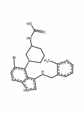 Cc1ncccc1CNc1c[nH]c2ncc(Br)c(N3CCCC(NC(=O)O)C3)c12